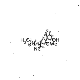 C=CC(=O)N1CC(n2c(C#N)cc3c(OC)c(-c4cc(O)cc5ccccc45)ccc32)C1